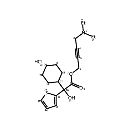 CCN(CC)CC#CCOC(=O)C(O)(c1cccs1)C1CCCCC1.Cl